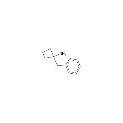 NC1(Cc2ccccc2)CCC1